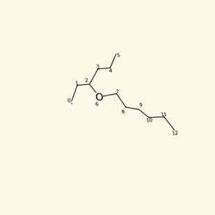 [CH2]CC(CCC)OCCCCCC